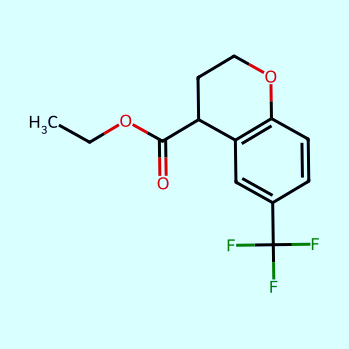 CCOC(=O)C1CCOc2ccc(C(F)(F)F)cc21